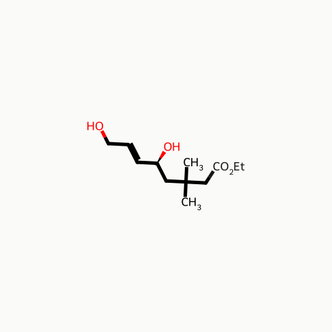 CCOC(=O)CC(C)(C)C[C@H](O)/C=C/CO